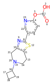 O=C(O)Oc1ccc(-c2nc3c(s2)CCN(C2CCC2)CC3)cn1